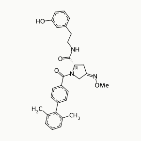 CON=C1C[C@@H](C(=O)NCCc2cccc(O)c2)N(C(=O)c2ccc(-c3c(C)cccc3C)cc2)C1